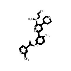 Cc1ccc(NC(=O)c2ccnc(C(F)(F)F)c2)cc1-c1cc(C2CCOCC2)c(N(C)CCO)nn1